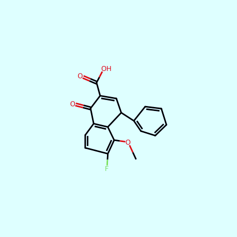 COc1c(F)ccc2c1C(c1ccccc1)C=C(C(=O)O)C2=O